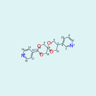 c1cncc(C2COC3(COC(c4ccncc4)OC3)OC2)c1